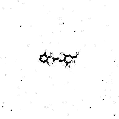 CC/C(=C\CC(=C(C)C)/C(Cl)=C\C=C/Cl)Nc1c(Cl)cccc1Cl